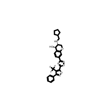 O[C@@H]1c2ccc(-c3noc(-c4onc(-c5ccccc5)c4C(F)(F)F)n3)cc2OC[C@H]1NCC1CCCC1